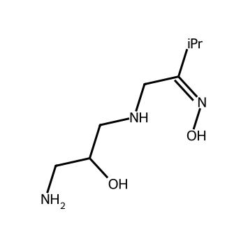 CC(C)C(CNCC(O)CN)=NO